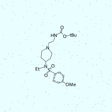 CCN(C1CCN(CCNC(=O)OC(C)(C)C)CC1)S(=O)(=O)c1ccc(OC)cc1